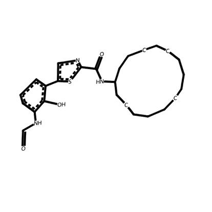 O=CNc1cccc(-c2cnc(C(=O)NC3CCCCCCCCCCCCCC3)s2)c1O